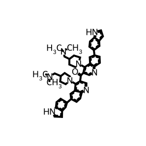 CN(C)CC1CCN(c2c(C(=O)c3cnc4ccc(-c5ccc6[nH]ccc6c5)cc4c3N3CCC(CN(C)C)CC3)cnc3ccc(-c4ccc5[nH]ccc5c4)cc23)CC1